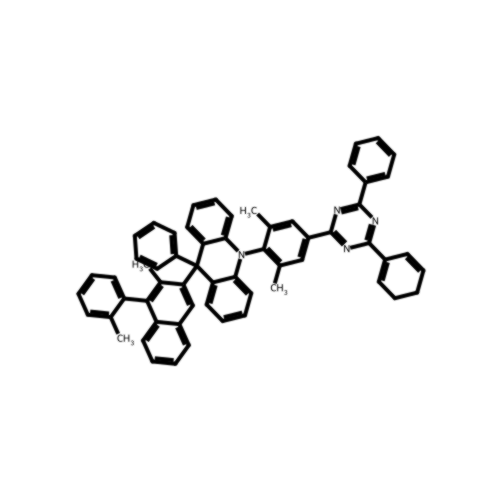 Cc1ccccc1-c1c(C)c(C2(c3ccccc3)c3ccccc3N(c3c(C)cc(-c4nc(C5=CCCC=C5)nc(-c5ccccc5)n4)cc3C)c3ccccc32)cc2ccccc12